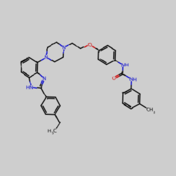 CCc1ccc(-c2nc3c(N4CCN(CCOc5ccc(NC(=O)Nc6cccc(C)c6)cc5)CC4)cccc3[nH]2)cc1